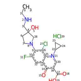 CCNCC1(O)CCN(c2c(F)cc3c(=O)c(C(=O)O)cn(C4CC4)c3c2Cl)C1.Cl